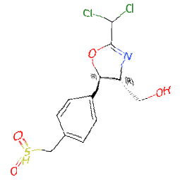 O=[SH](=O)Cc1ccc([C@H]2OC(C(Cl)Cl)=N[C@@H]2CO)cc1